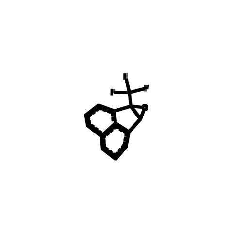 FC(F)(F)C12OC1c1cccc3cccc2c13